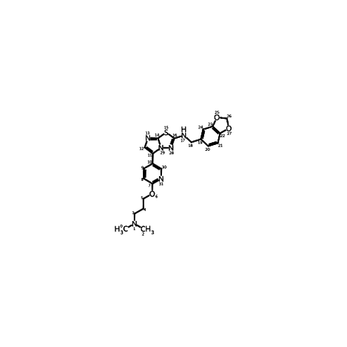 CN(C)CCCOc1ccc(-c2cnc3sc(NCc4ccc5c(c4)OCO5)nn23)cn1